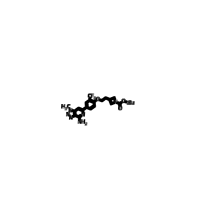 Cn1nnc2c(N)nc(-c3ccc(OCCC4CN(C(=O)OC(C)(C)C)C4)c(C(F)(F)F)c3)cc21